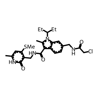 CCC(CC)n1c(C)c(C(=O)NCc2c(SC)cc(C)[nH]c2=O)c2ccc(CNC(=O)CCl)cc21